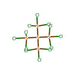 ClS(Cl)(Cl)S(S(Cl)(Cl)Cl)(S(Cl)(Cl)Cl)S(Cl)(Cl)Cl